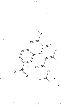 COC(=O)C1=NNC(C)=C(C(=O)OC(C)C)C1c1cccc([N+](=O)[O-])c1